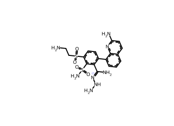 NCCS(=O)(=O)c1ccc(-c2cccc3ccc(N)nc23)c(/C(N)=N/NN)c1S(N)(=O)=O